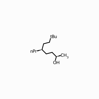 CCC[C@H](CC[C@@H](C)O)CCC(C)(C)C